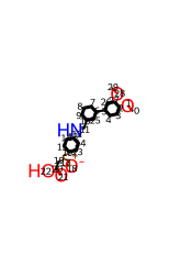 COc1ccc(-c2cccc(CNc3ccc([S+]([O-])CC(=O)O)cc3)c2)cc1OC